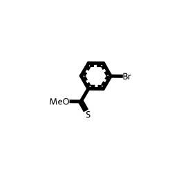 COC(=S)c1cccc(Br)c1